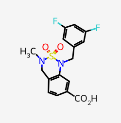 CN1Cc2ccc(C(=O)O)cc2N(Cc2cc(F)cc(F)c2)S1(=O)=O